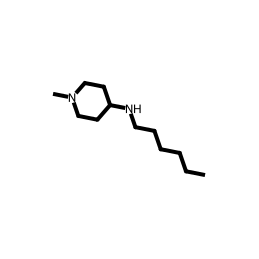 CCCCCCNC1CCN(C)CC1